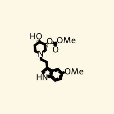 COC(=O)O[C@H]1CN(CCc2c[nH]c3ccc(OC)cc23)CC[C@H]1O